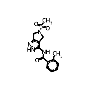 Cc1ccccc1C(=O)Nc1[nH]nc2c1CN(S(C)(=O)=O)C2